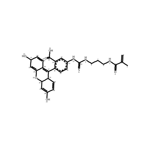 C=C(C)C(=O)NCCCNC(=S)Nc1ccc(C2=C3C=CC(O)C=C3OC3C=C(O)C=CC23)c(C(=O)O)c1